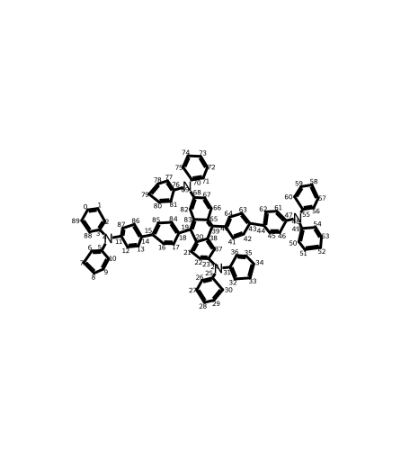 c1ccc(N(c2ccccc2)c2ccc(-c3ccc(-c4c5ccc(N(c6ccccc6)c6ccccc6)cc5c(-c5ccc(-c6ccc(N(c7ccccc7)c7ccccc7)cc6)cc5)c5ccc(N(c6ccccc6)c6ccccc6)cc45)cc3)cc2)cc1